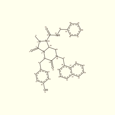 CN1C(=O)N2C(Cc3ccc(O)cc3)C(=O)N(Cc3cccc4ccccc34)CC2N1C(=O)NCc1ccccc1